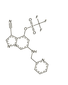 N#Cc1cnn2cc(NCc3ccccn3)cc(OS(=O)(=O)C(F)(F)F)c12